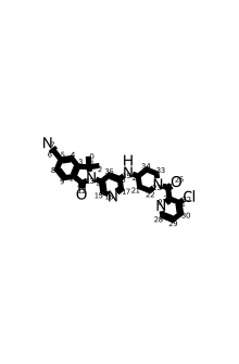 CC1(C)c2cc(C#N)ccc2C(=O)N1c1cncc(NC2CCN(C(=O)c3ncccc3Cl)CC2)c1